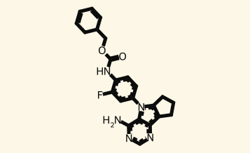 Nc1ncnc2c3c(n(-c4ccc(NC(=O)OCC5C=CC=CC5)c(F)c4)c12)CCC3